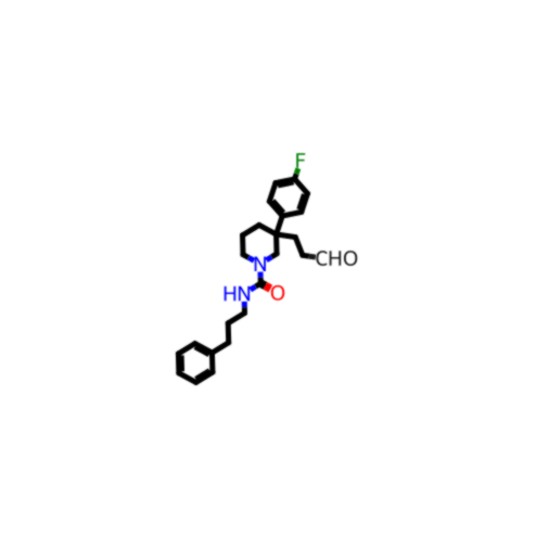 O=CCCC1(c2ccc(F)cc2)CCCN(C(=O)NCCCc2ccccc2)C1